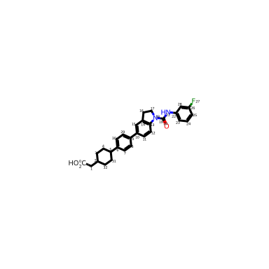 O=C(O)CC1CCC(c2ccc(-c3ccc4c(c3)CCN4C(=O)Nc3cccc(F)c3)cc2)CC1